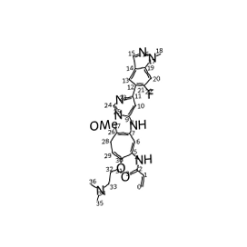 C=CC(=O)NC1=CC(Nc2cc(-c3cc4cnn(C)c4cc3F)ncn2)=C(OC)CC=C1OCCN(C)C